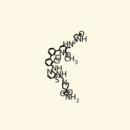 COc1nc(-c2cccc(-c3cccc(Nc4nccc5c4NC(CN4CCC(S(N)(=O)=O)CC4)S5)c3Cl)c2Cl)ccc1CNC[C@@H]1CCC(=O)N1